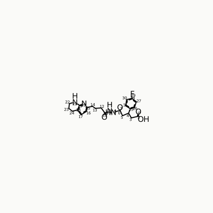 O=C(O)CC(CC(=O)NNC(=O)CCCc1ccc2c(n1)NCCC2)c1ccc(F)cc1